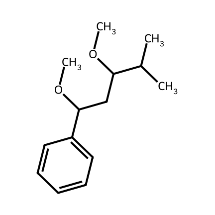 COC(CC(OC)C(C)C)c1ccccc1